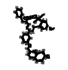 CC(C)(O)c1ccccc1CC[C@H](SCC(Cc1ccccc1)C(=O)[O-])c1cccc(OCc2ccc3ccc(Cl)cc3n2)c1.[Na+]